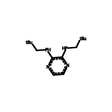 CC(C)(C)CPc1nccnc1PCC(C)(C)C